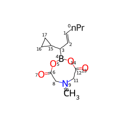 CCCC=CC(B1OC(=O)CN(C)CC(=O)O1)C1CC1